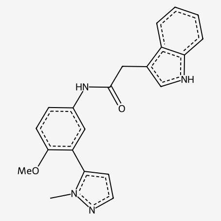 COc1ccc(NC(=O)Cc2c[nH]c3ccccc23)cc1-c1ccnn1C